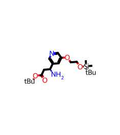 CC(C)(C)OC(=O)C[C@H](N)c1cncc(OCCO[Si](C)(C)C(C)(C)C)c1